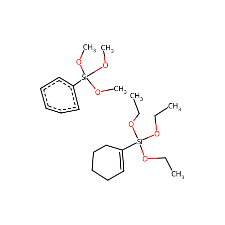 CCO[Si](OCC)(OCC)C1=CCCCC1.CO[Si](OC)(OC)c1ccccc1